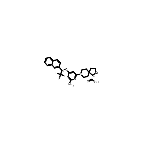 Nc1nc(O[C@H](c2ccc3ccccc3c2)C(F)(F)F)cc(N2CCC3(CCN[C@@H]3C(=O)O)CC2)n1